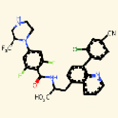 N#Cc1ccc(-c2ccc(CC(NC(=O)c3c(F)cc(N4CCNC[C@@H]4C(F)(F)F)cc3F)C(=O)O)c3cccnc23)c(Cl)c1